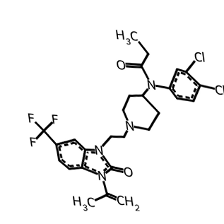 C=C(C)n1c(=O)n(CCN2CCC(N(C(=O)CC)c3ccc(Cl)c(Cl)c3)CC2)c2cc(C(F)(F)F)ccc21